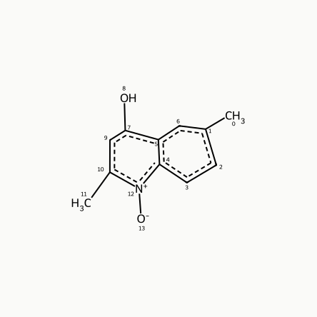 Cc1ccc2c(c1)c(O)cc(C)[n+]2[O-]